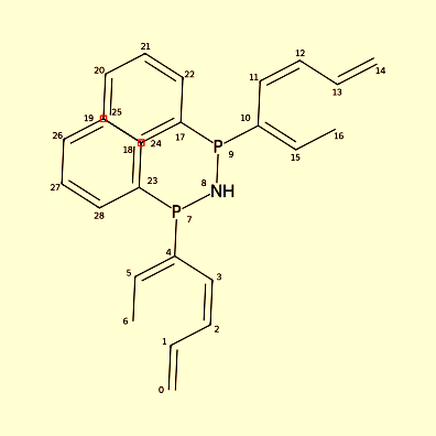 C=C/C=C\C(=C/C)P(NP(C(/C=C\C=C)=C/C)c1ccccc1)c1ccccc1